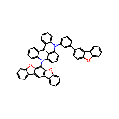 c1cc(-c2ccc3oc4ccccc4c3c2)cc(N2c3ccccc3B3c4ccccc4N(c4c5oc6ccccc6c5cc5c4oc4ccccc45)c4cccc2c43)c1